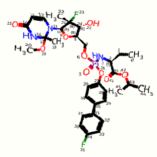 CC[C@H](NP(=O)(OC[C@H]1O[C@@H](N2C=CC(=O)NC2(C)OC)[C@](C)(F)[C@@H]1O)Oc1ccc(-c2ccc(F)cc2)cc1)C(=O)OC(C)C